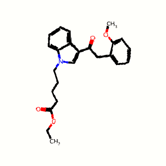 CCOC(=O)CCCCn1cc(C(=O)Cc2ccccc2OC)c2ccccc21